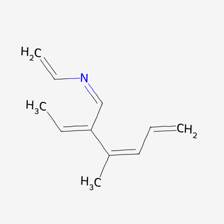 C=C/C=C(/C)C(=CC)/C=N\C=C